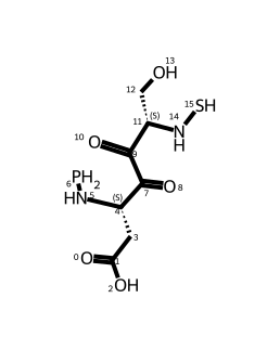 O=C(O)C[C@H](NP)C(=O)C(=O)[C@H](CO)NS